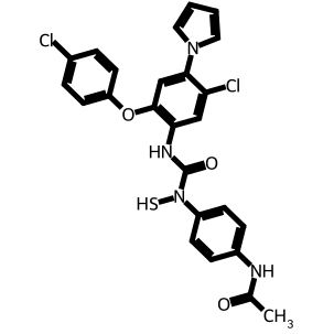 CC(=O)Nc1ccc(N(S)C(=O)Nc2cc(Cl)c(-n3cccc3)cc2Oc2ccc(Cl)cc2)cc1